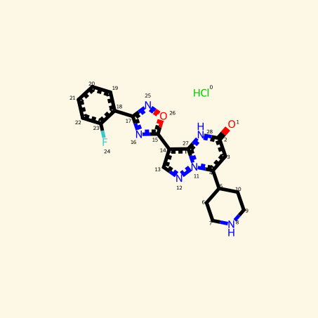 Cl.O=c1cc(C2CCNCC2)n2ncc(-c3nc(-c4ccccc4F)no3)c2[nH]1